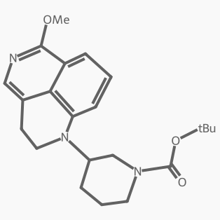 COc1ncc2c3c(cccc13)N(C1CCCN(C(=O)OC(C)(C)C)C1)CC2